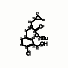 CC(C)(C)OC(=O)N(Cc1ccc(Cl)c(CO)c1)CC1CC1